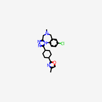 Cc1coc(C2CCC(c3nnc4n3-c3ccc(Cl)cc3CN(C)C4)CC2)n1